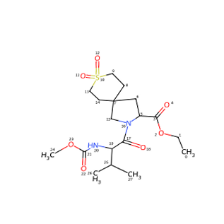 CCOC(=O)C1CC2(CCS(=O)(=O)CC2)CN1C(=O)C(NC(=O)OC)C(C)C